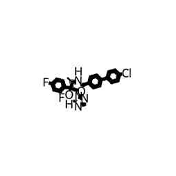 C[C@@H](NC(=O)c1ccc(-c2ccc(Cl)cc2)cc1)[C@](O)(Cn1cncn1)c1ccc(F)cc1F